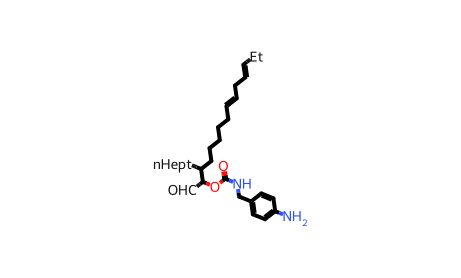 CCC=CCC=CCCCCCC(CCCCCCC)C(C=O)OC(=O)NCc1ccc(N)cc1